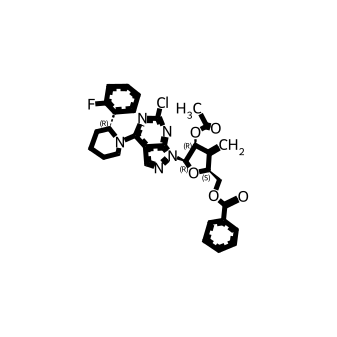 C=C1[C@@H](OC(C)=O)[C@H](n2ncc3c(N4CCCC[C@@H]4c4ccccc4F)nc(Cl)nc32)O[C@@H]1COC(=O)c1ccccc1